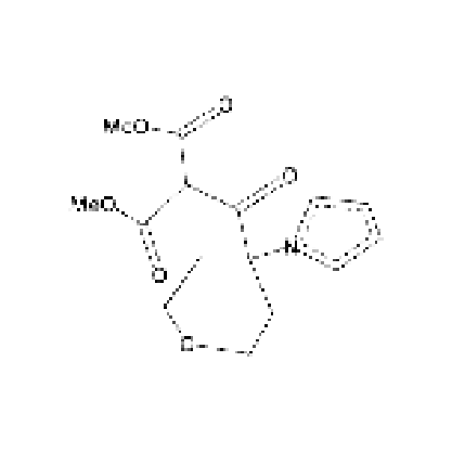 COC(=O)C(C(=O)OC)C(=O)C1(n2cccc2)CCOCC1